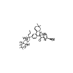 CCC[C@@](O)(C[C@]1(C)OC[C@H]2OC(C)(C)O[C@H]21)c1ccc(NC(=O)c2nc(C#N)c[nH]2)c(C2=CCC(C)(C)CC2)c1